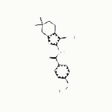 CC1(C)CCc2c(sc(NC(=O)c3ccc(OC(F)(F)F)cc3)c2C(=O)O)C1